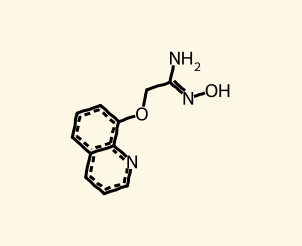 NC(COc1cccc2cccnc12)=NO